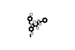 CCOc1ccc2c(c1)c(C(=O)c1cnc(-c3ccccc3)o1)c(Cl)n2Cc1ccc(Cl)cc1